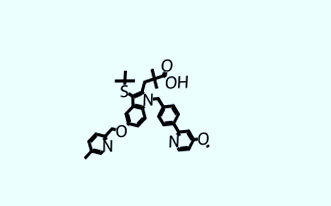 COc1ccnc(-c2ccc(Cn3c(CC(C)(C)C(=O)O)c(SC(C)(C)C)c4cc(OCc5ccc(C)cn5)ccc43)cc2)c1